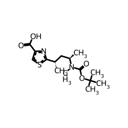 C[C@H](C[C@H](C)c1nc(C(=O)O)cs1)N(C)C(=O)OC(C)(C)C